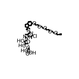 C#CCOCCOCCOCCOCCOc1ccc2c(c1)C1(CC2)CN(c2nc(Cl)nc3c2cnn3[C@@H]2O[C@H](COCP(=O)(O)O)[C@@H](O)[C@H]2O)C1